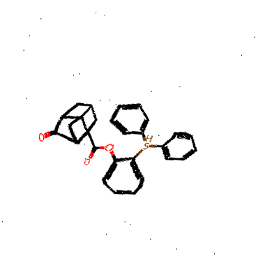 O=C1C2CC3CC1C(C(=O)Oc1ccccc1[SH](c1ccccc1)c1ccccc1)(C3)C2